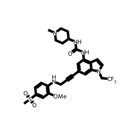 COc1cc(S(C)(=O)=O)ccc1NCC#Cc1cc(NC(=O)NC2CCN(C)CC2)c2ccn(CC(F)(F)F)c2c1